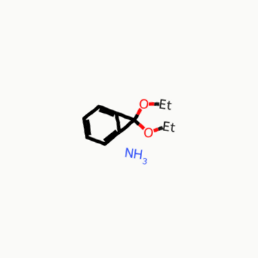 CCOC1(OCC)c2ccccc21.N